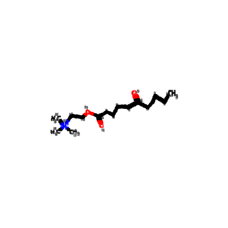 CCCCC(=O)CCCCC(=O)OCC[N+](C)(C)C